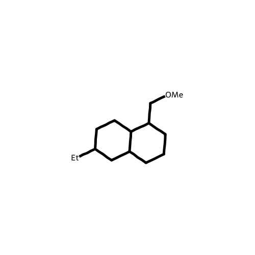 CCC1CCC2C(COC)CCCC2C1